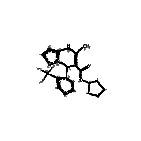 CC1=C(C(=O)OC2CCCC2)C(c2ccccc2C(F)(F)F)n2nccc2N1